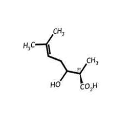 CC(C)=CCC(O)[C@@H](C)C(=O)O